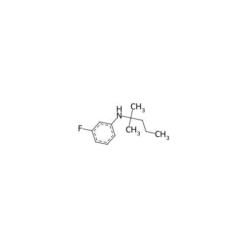 CCCC(C)(C)Nc1cccc(F)c1